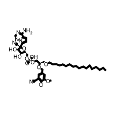 CCCCCCCCCCCCCCCCCCOC[C@H](COP(=O)(O)OC[C@H]1O[C@@](C#N)(c2ccc3c(N)ncnn23)[C@H](O)[C@@H]1O)OCc1cc(C#N)c(Cl)c(OC)c1